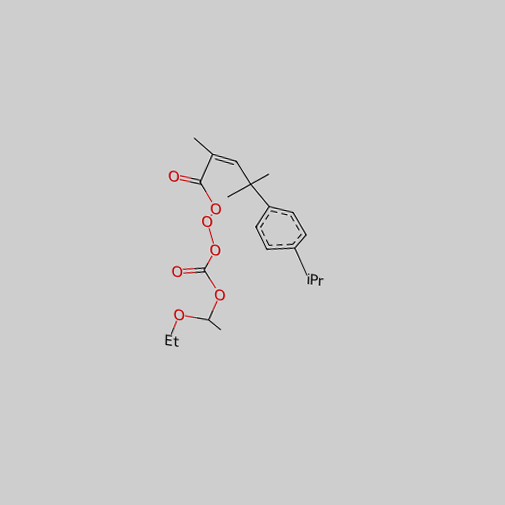 CCOC(C)OC(=O)OOOC(=O)/C(C)=C\C(C)(C)c1ccc(C(C)C)cc1